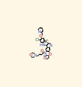 N#Cc1cnc2cc(OC3CCOC3)c(NC(=O)C=CCN3CCOCC3)cc2c1Nc1ccc(OCc2ccccn2)c(Cl)c1